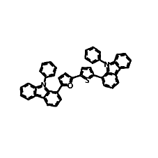 c1ccc(-n2c3ccccc3c3cccc(-c4ccc(-c5ccc(-c6cccc7c8ccccc8n(-c8ccccc8)c67)s5)o4)c32)cc1